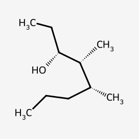 CCC[C@@H](C)[C@@H](C)[C@H](O)CC